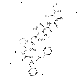 CC[C@H](C)[C@@H]([C@@H](CC(=O)N1CCC[C@H]1[C@H](OC)[C@@H](C)C(=O)N[C@H](COCc1ccccc1)Cc1ccccc1)OC)N(C)[C@H](C(=O)NC(=O)[C@H](C(C)C)N(C)C(=O)OC(C)(C)C)C(C)C